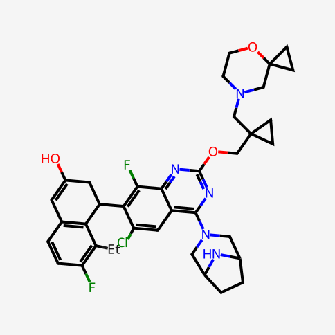 CCc1c(F)ccc2c1C(c1c(Cl)cc3c(N4CC5CCC(C4)N5)nc(OCC4(CN5CCOC6(CC6)C5)CC4)nc3c1F)CC(O)=C2